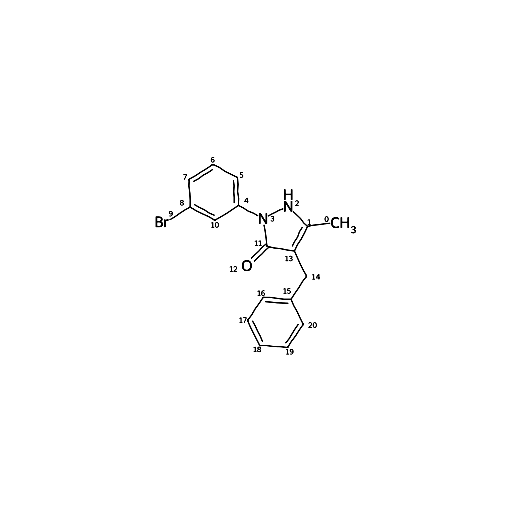 Cc1[nH]n(-c2cccc(Br)c2)c(=O)c1Cc1ccccc1